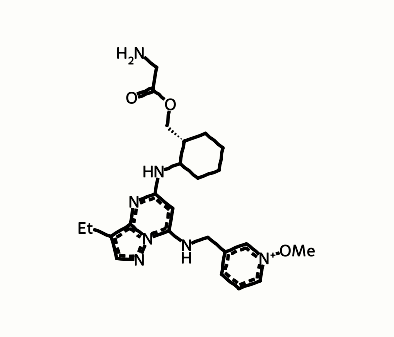 CCc1cnn2c(NCc3ccc[n+](OC)c3)cc(NC3CCCC[C@H]3COC(=O)CN)nc12